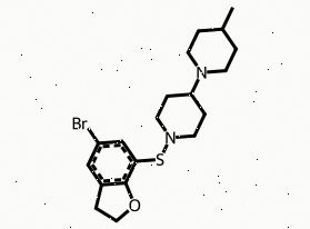 CC1CCN(C2CCN(Sc3cc(Br)cc4c3OCC4)CC2)CC1